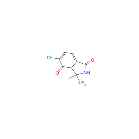 CC1(C(F)(F)F)NC(=O)C2=CC=C(Cl)C(=O)C21